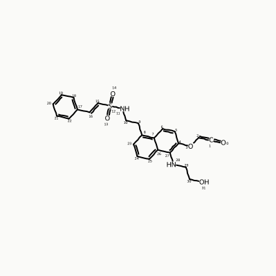 O=C=COc1ccc2c(CCNS(=O)(=O)C=Cc3ccccc3)cccc2c1NCCO